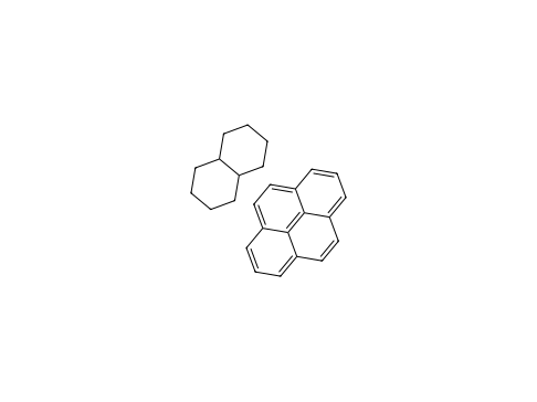 C1CCC2CCCCC2C1.c1cc2ccc3cccc4ccc(c1)c2c34